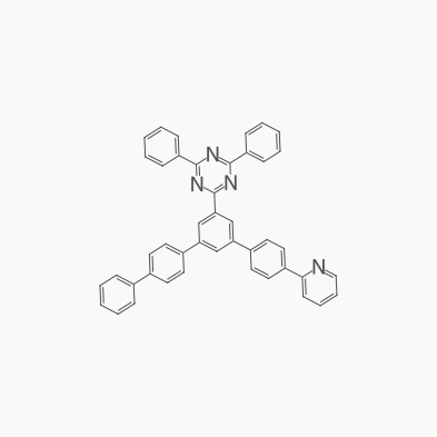 c1ccc(-c2ccc(-c3cc(-c4ccc(-c5ccccn5)cc4)cc(-c4nc(-c5ccccc5)nc(-c5ccccc5)n4)c3)cc2)cc1